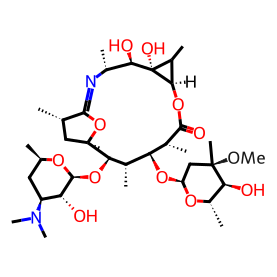 CO[C@]1(C)C[C@H](O[C@H]2[C@H](C)[C@@H](O[C@@H]3O[C@H](C)C[C@H](N(C)C)[C@H]3O)[C@@]3(C)C[C@H](C)/C(=N/[C@H](C)[C@@H](O)[C@@]4(O)C(C)[C@H]4OC(=O)[C@@H]2C)O3)O[C@@H](C)[C@@H]1O